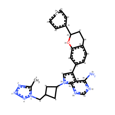 Cc1nnnn1CC1CC(n2cc(-c3ccc4c(c3)OC(c3ccccc3)CC4)c3c(N)ncnc32)C1